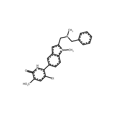 CCc1cc(C(=O)O)c(=O)[nH]c1-c1ccc2c(c1)cc(CN(C)Cc1ccccc1)n2C